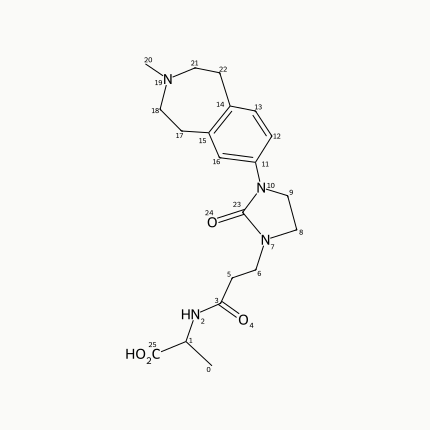 CC(NC(=O)CCN1CCN(c2ccc3c(c2)CCN(C)CC3)C1=O)C(=O)O